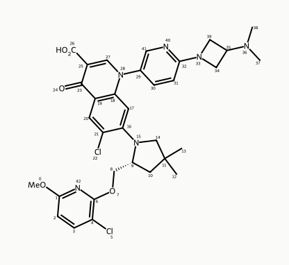 COc1ccc(Cl)c(OC[C@H]2CC(C)(C)CN2c2cc3c(cc2Cl)c(=O)c(C(=O)O)cn3-c2ccc(N3CC(N(C)C)C3)nc2)n1